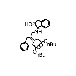 CCCCOC(=O)CN(CC(=O)OCCCC)[C@H](CN[C@@H]1c2ccccc2C[C@H]1O)Cc1ccccc1